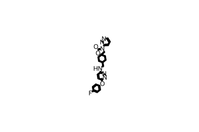 O=C1OC2(CCC(CNc3ccc(Oc4ccc(F)cc4)nn3)CC2)CN1c1cccnn1